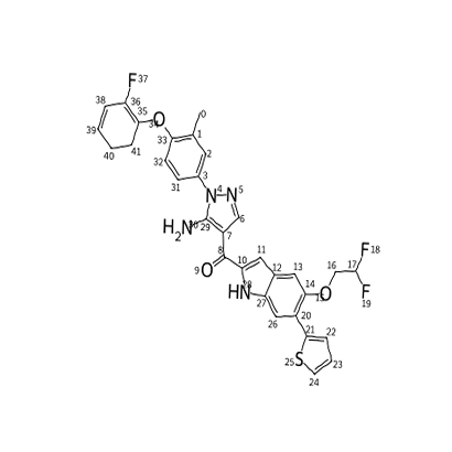 Cc1cc(-n2ncc(C(=O)c3cc4cc(OCC(F)F)c(-c5cccs5)cc4[nH]3)c2N)ccc1OC1=C(F)C=CCC1